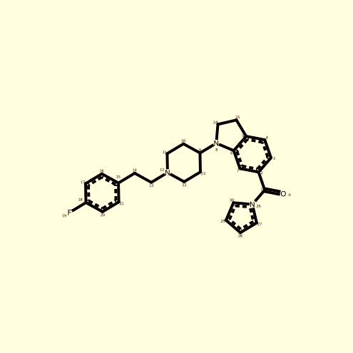 O=C(c1ccc2c(c1)N(C1CCN(CCc3ccc(F)cc3)CC1)CC2)n1cccc1